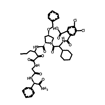 CCCC(NC(=O)[C@@H]1C[C@@H](OCc2ccccc2)CN1C(=O)C(NC(=O)c1cc(Cl)c(Cl)cc1C(=O)O)C1CCCCC1)C(=O)C(=O)NCC(=O)N[C@@H](C(N)=O)c1ccccc1